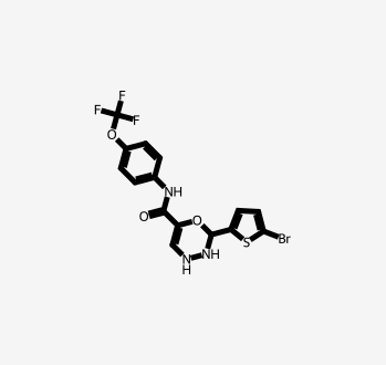 O=C(Nc1ccc(OC(F)(F)F)cc1)C1=CNNC(c2ccc(Br)s2)O1